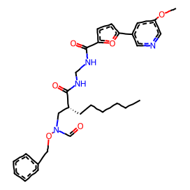 CCCCCC[C@H](CN(C=O)OCc1ccccc1)C(=O)NCNC(=O)c1ccc(-c2cncc(OC)c2)o1